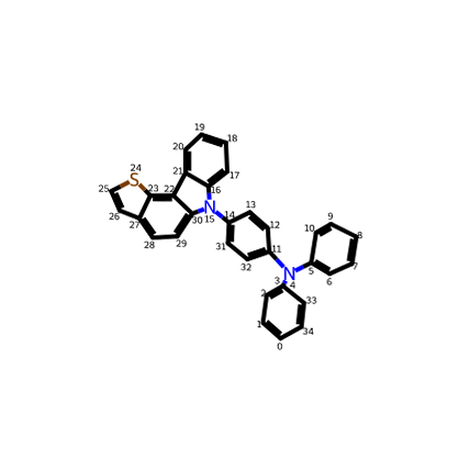 c1ccc(N(c2ccccc2)c2ccc(-n3c4ccccc4c4c5sccc5ccc43)cc2)cc1